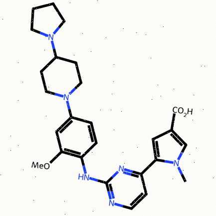 COc1cc(N2CCC(N3CCCC3)CC2)ccc1Nc1nccc(-c2cc(C(=O)O)cn2C)n1